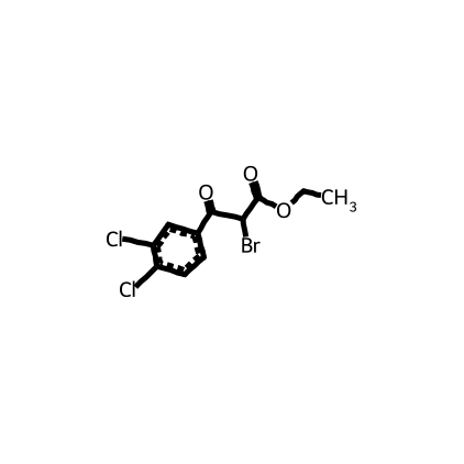 CCOC(=O)C(Br)C(=O)c1ccc(Cl)c(Cl)c1